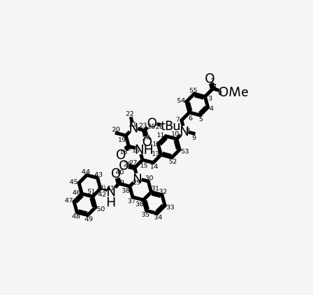 COC(=O)c1ccc(CN(C)c2ccc(CC(NC(=O)C(C)N(C)C(=O)OC(C)(C)C)C(=O)N3Cc4ccccc4CC3C(=O)N[C@@H]3CCCc4ccccc43)cc2)cc1